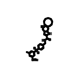 COc1cc(C)cc(S(=O)(=O)c2ccc(CNC(=O)c3cc4c([nH]3)CC3(CCCCCCCC3)NC4)cc2)c1